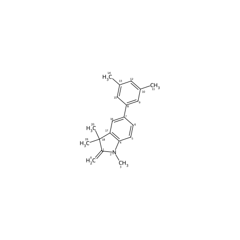 C=C1N(C)c2ccc(-c3cc(C)cc(C)c3)cc2C1(C)C